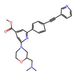 COC(=O)c1cc(-c2ccc(C#Cc3cccnc3)cc2)nc(N2CCOC(CN(C)C)C2)c1